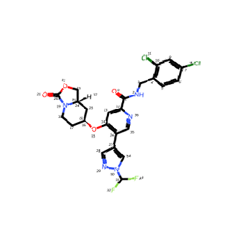 O=C(NCc1ccc(Cl)cc1Cl)c1cc(O[C@H]2CCN3C(=O)OC[C@@H]3C2)c(-c2cnn(C(F)F)c2)cn1